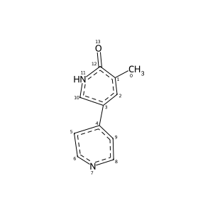 Cc1cc(-c2ccncc2)c[nH]c1=O